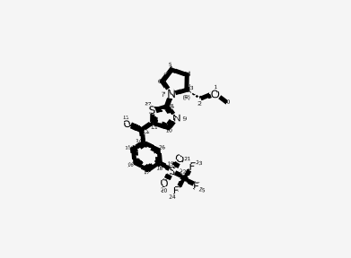 COC[C@H]1CCCN1c1ncc(C(=O)c2cccc(S(=O)(=O)C(F)(F)F)c2)s1